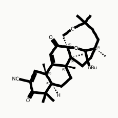 CCCCC1O[C@@]23CCC(C)(C)CC[C@@]1(C)CC[C@@]2(C)[C@]1(C)CC[C@H]2C(C)(C)C(=O)C(C#N)=C[C@]2(C)C1=CC3=O